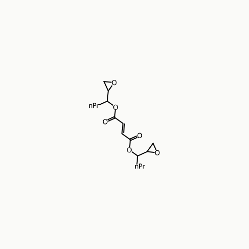 CCCC(OC(=O)/C=C/C(=O)OC(CCC)C1CO1)C1CO1